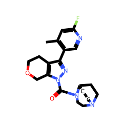 Cc1cc(F)ncc1-c1nn(C(=O)N2CCN3CCC2CC3)c2c1CCOC2